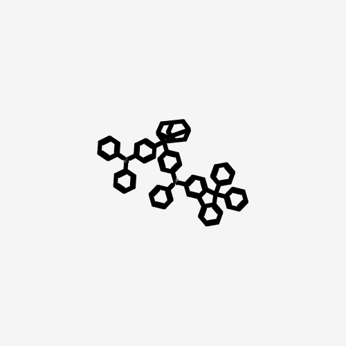 c1ccc(N(c2ccccc2)c2ccc(C3(c4ccc(N(c5ccccc5)c5ccc6c(c5)-c5ccccc5C6(c5ccccc5)c5ccccc5)cc4)C4CC5CC(C4)CC3C5)cc2)cc1